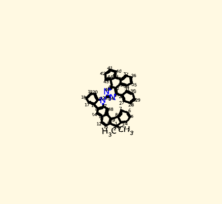 CC1(C)c2ccccc2-c2c1ccc1cc3c4ccccc4n(-c4nc(-c5ccccc5)c5c6ccccc6c6ccccc6c5n4)c3cc21